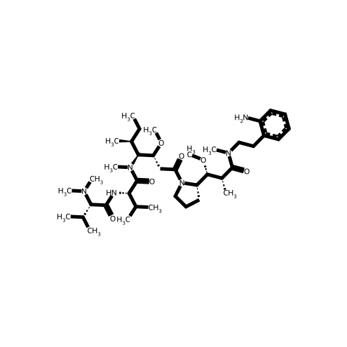 CC[C@H](C)[C@@H]([C@@H](CC(=O)N1CCC[C@H]1[C@H](OC)[C@@H](C)C(=O)N(C)CCc1ccccc1N)OC)N(C)C(=O)[C@@H](NC(=O)[C@H](C(C)C)N(C)C)C(C)C